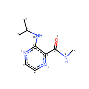 CNC(=O)c1nccnc1NC(C)C